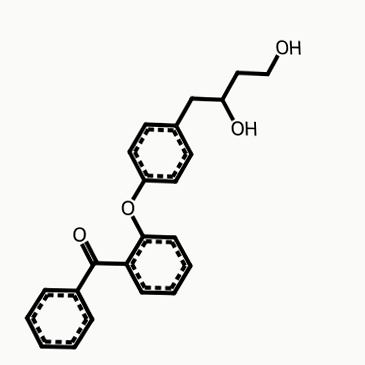 O=C(c1ccccc1)c1ccccc1Oc1ccc(CC(O)CCO)cc1